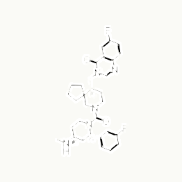 CN[C@@H]1CCN(C(=O)N2CC[C@@H](Cn3cnc4ccc(F)cc4c3=O)C3(CCCC3)C2)[C@H](c2cccc(F)c2)C1